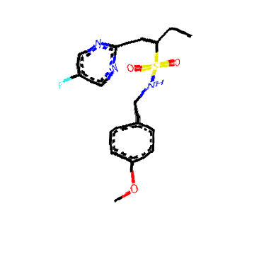 CCC(Cc1ncc(F)cn1)S(=O)(=O)NCc1ccc(OC)cc1